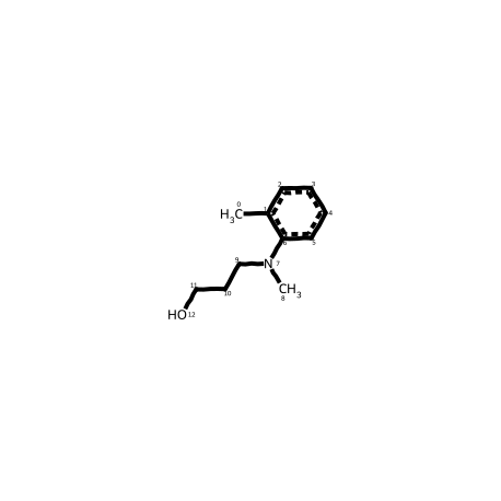 Cc1ccccc1N(C)CCCO